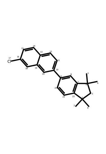 CC1(C)CC(C)(C)c2cc(-c3ccc4ccc(Cl)cc4c3)ccc21